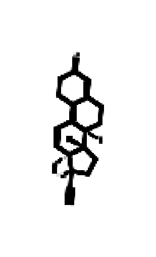 C#C[C@]1(O)CC[C@H]2[C@@H]3CCC4=CC(=O)CCC4=C3C=C[C@@]21CC